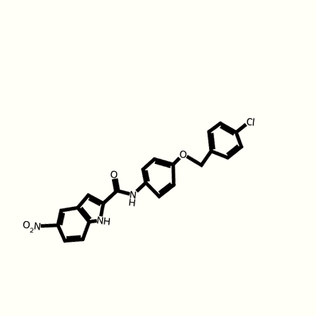 O=C(Nc1ccc(OCc2ccc(Cl)cc2)cc1)c1cc2cc([N+](=O)[O-])ccc2[nH]1